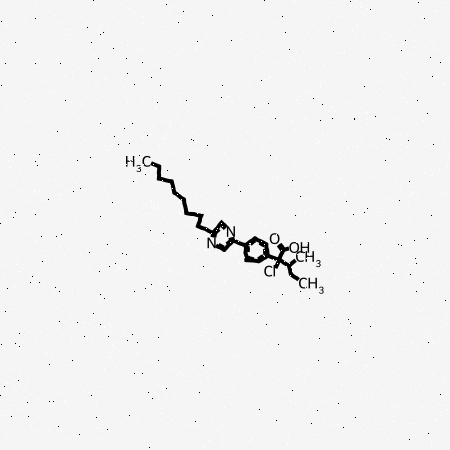 CCCCCCCCCc1cnc(-c2ccc(C(Cl)(C(=O)O)C(C)CC)cc2)cn1